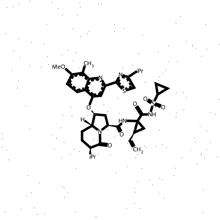 C=C[C@@H]1CC1(NC(=O)[C@@H]1C[C@@H](Oc2cc(-c3nc(C(C)C)cs3)nc3c(C)c(OC)ccc23)[C@H]2CC[C@H](C(C)C)C(=O)N21)C(=O)NS(=O)(=O)C1CC1